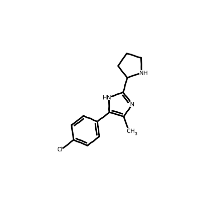 Cc1nc(C2CCCN2)[nH]c1-c1ccc(Cl)cc1